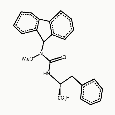 CON(C(=O)N[C@@H](Cc1ccccc1)C(=O)O)C1c2ccccc2-c2ccccc21